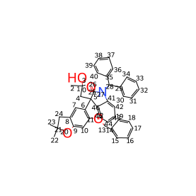 CC(C)(O)CC1(c2cc3c(cc2OCc2ccccc2)OC(C)(C)C3)C(=O)N(C(c2ccccc2)c2ccccc2)c2ccccc21